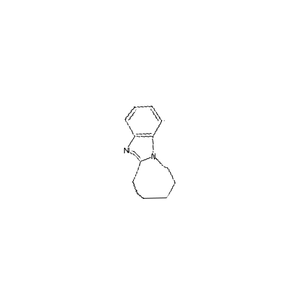 [c]1cccc2nc3n(c12)CCCCC3